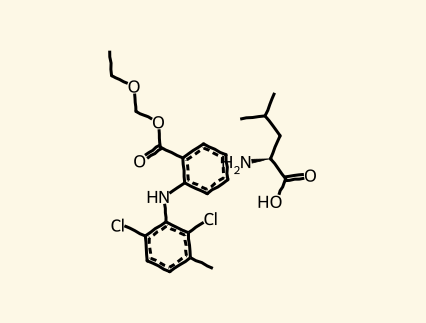 CC(C)C[C@H](N)C(=O)O.CCOCOC(=O)c1ccccc1Nc1c(Cl)ccc(C)c1Cl